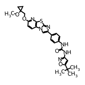 COC1(COc2ccc3c(n2)sc2nc(-c4ccc(NC(=O)Nc5cc(C(C)(C)C)on5)cc4)cn23)CC1